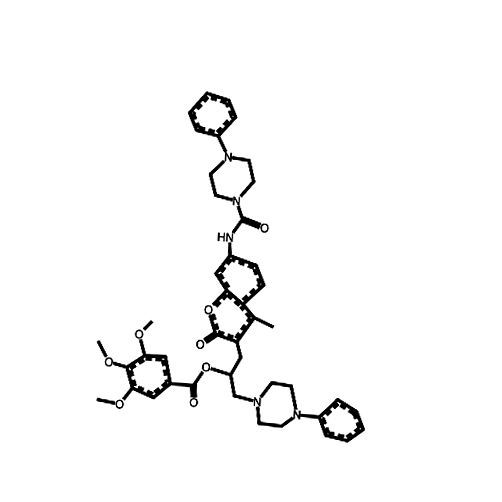 COc1cc(C(=O)OC(Cc2c(C)c3ccc(NC(=O)N4CCN(c5ccccc5)CC4)cc3oc2=O)CN2CCN(c3ccccc3)CC2)cc(OC)c1OC